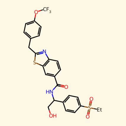 CCS(=O)(=O)c1ccc(C(CO)NC(=O)c2ccc3nc(Cc4ccc(OC(F)(F)F)cc4)sc3c2)cc1